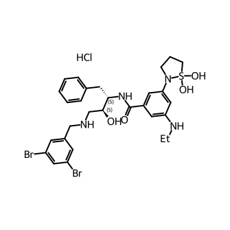 CCNc1cc(C(=O)N[C@@H](Cc2ccccc2)[C@@H](O)CNCc2cc(Br)cc(Br)c2)cc(N2CCCS2(O)O)c1.Cl